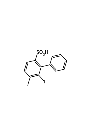 Cc1ccc(S(=O)(=O)O)c(-c2ccccc2)c1I